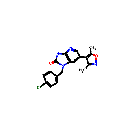 Cc1noc(C)c1-c1cnc2[nH]c(=O)n(Cc3ccc(Cl)cc3)c2c1